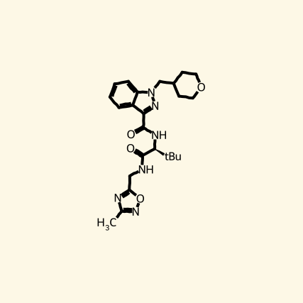 Cc1noc(CNC(=O)[C@@H](NC(=O)c2nn(CC3CCOCC3)c3ccccc23)C(C)(C)C)n1